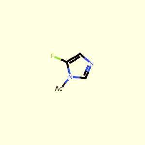 CC(=O)n1cncc1F